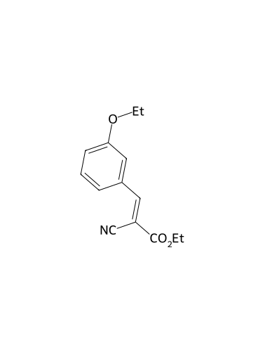 CCOC(=O)C(C#N)=Cc1cccc(OCC)c1